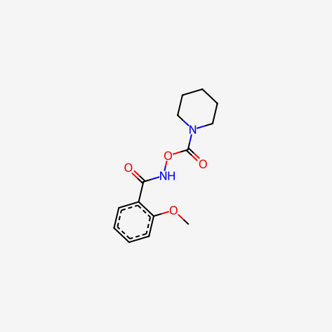 COc1ccccc1C(=O)NOC(=O)N1CCCCC1